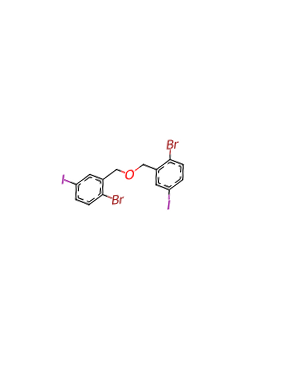 Brc1ccc(I)cc1COCc1cc(I)ccc1Br